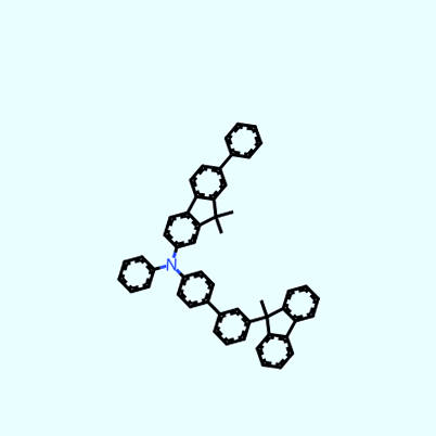 CC1(C)c2cc(-c3ccccc3)ccc2-c2ccc(N(c3ccccc3)c3ccc(-c4cccc(C5(C)c6ccccc6-c6ccccc65)c4)cc3)cc21